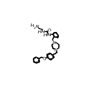 NCCNC(=O)Nc1ccccc1CN1CCCN(Cc2ccc(OCc3ccccc3)cc2)CC1